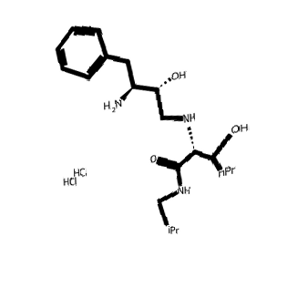 CCCC(O)[C@@H](NC[C@@H](O)[C@@H](N)Cc1ccccc1)C(=O)NCC(C)C.Cl.Cl